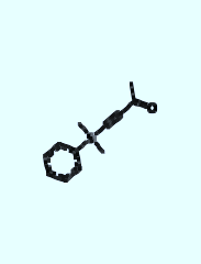 CC(=O)C#C[Si](C)(C)c1ccccc1